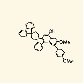 COc1ccc(-c2cc3c4c(cc(O)c3cc2OC)C2(CCC(c3ccccc3)(c3ccccc3)CC2)c2ccccc2-4)cc1